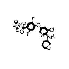 CS(=O)(=O)NC(=O)c1cc(F)c(Oc2cnc(NC3CCCOC3)c(Cl)c2)cc1F